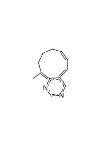 C\C1=c2/ncnc/c2=C/C=C\CCC1